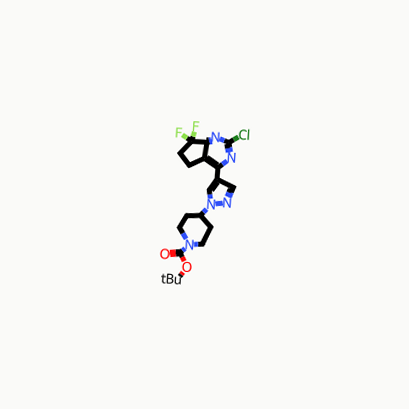 CC(C)(C)OC(=O)N1CCC(n2cc(-c3nc(Cl)nc4c3CCC4(F)F)cn2)CC1